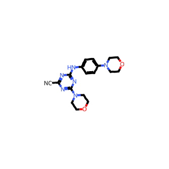 N#Cc1nc(Nc2ccc(N3CCOCC3)cc2)nc(N2CCOCC2)n1